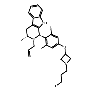 C=CCN1[C@H](c2c(F)cc(OC3CN(CCCF)C3)cc2F)c2[nH]c3ccccc3c2C[C@H]1C